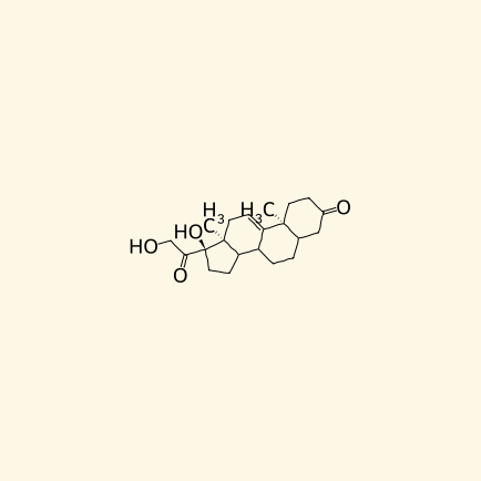 C[C@]12CC=C3C(CCC4CC(=O)CC[C@]34C)C1CC[C@]2(O)C(=O)CO